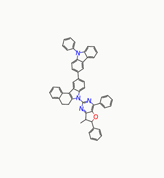 CC1c2nc(-n3c4c(c5cc(-c6ccc7c(c6)c6ccccc6n7-c6ccccc6)ccc53)-c3ccccc3CC4)nc(-c3ccccc3)c2OC1c1ccccc1